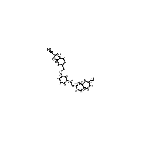 N#Cc1nc2ccc(COc3cccc(C=Cc4ccc5ccc(Cl)cc5n4)c3)cc2o1